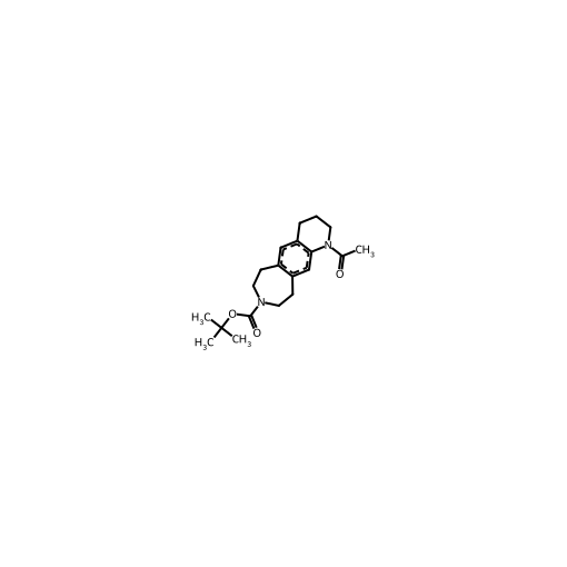 CC(=O)N1CCCc2cc3c(cc21)CCN(C(=O)OC(C)(C)C)CC3